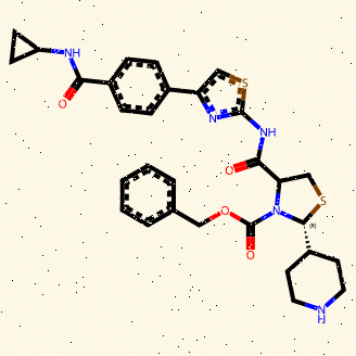 O=C(NC1CC1)c1ccc(-c2csc(NC(=O)C3CS[C@H](C4CCNCC4)N3C(=O)OCc3ccccc3)n2)cc1